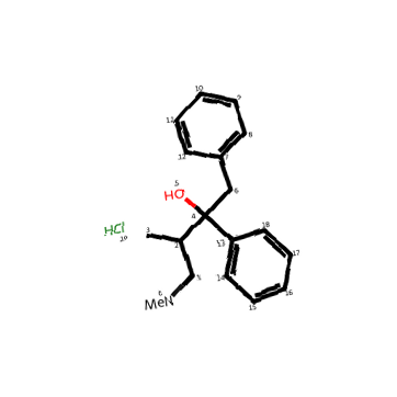 CNCC(C)C(O)(Cc1ccccc1)c1ccccc1.Cl